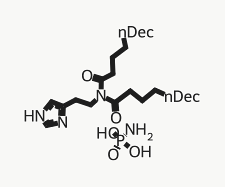 CCCCCCCCCCCCCC(=O)N(CCc1c[nH]cn1)C(=O)CCCCCCCCCCCCC.NP(=O)(O)O